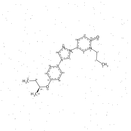 CCCn1cc(-n2cc(-c3ccc(O[C@@H](C)CC)cc3)cn2)ccc1=O